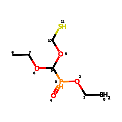 BCO[PH](=O)C(OCC)OCS